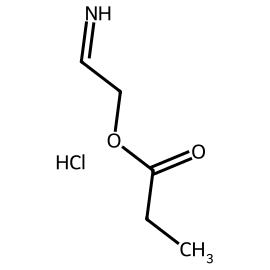 CCC(=O)OCC=N.Cl